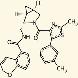 Cc1cccc(-c2sc(C)nc2C(=O)N2C[C@@H]3C[C@@H]3[C@H]2CNC(=O)c2cccc3c2C=CCO3)c1